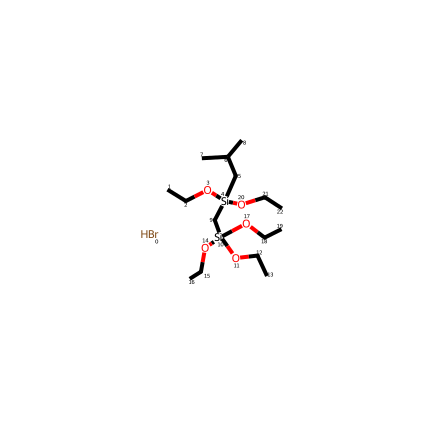 Br.CCO[Si](CC(C)C)(C[Si](OCC)(OCC)OCC)OCC